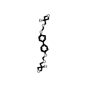 CCC1(COCOc2ccc(-c3ccc(OCOCC4(CC)COC4)cc3)cc2)COC1